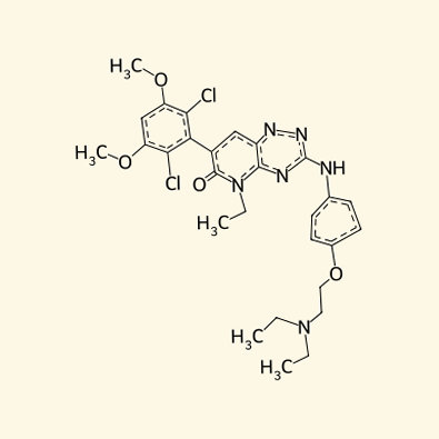 CCN(CC)CCOc1ccc(Nc2nnc3cc(-c4c(Cl)c(OC)cc(OC)c4Cl)c(=O)n(CC)c3n2)cc1